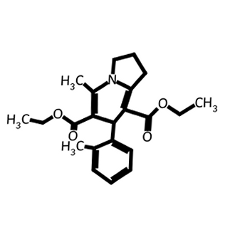 CCOC(=O)C1=C(C)N2CCCC2=C(C(=O)OCC)C1c1ccccc1C